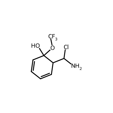 NC(Cl)C1C=CC=CC1(O)OC(F)(F)F